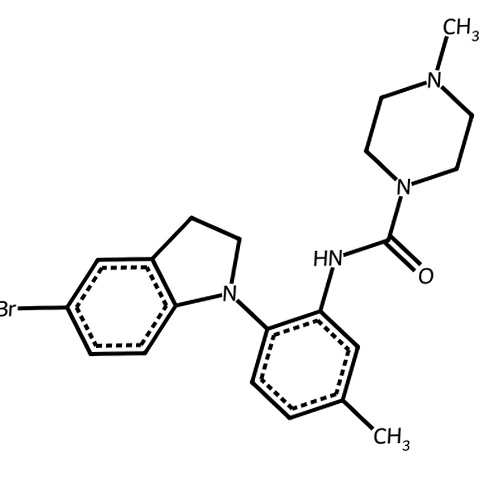 Cc1ccc(N2CCc3cc(Br)ccc32)c(NC(=O)N2CCN(C)CC2)c1